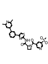 Cc1cc(-c2cccc(-c3csc(NC(=O)C4CCN4C(=O)c4cncc(S(C)(=O)=O)c4)n3)c2)cc(C)n1